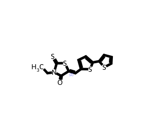 CCN1C(=O)/C(=C/c2ccc(-c3cccs3)s2)SC1=S